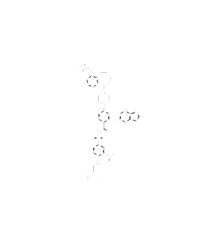 CS(=O)(=O)Nc1cccc2c1CCCCC2N1CCN(c2ccc(C(=O)NS(=O)(=O)c3ccc(NCC4CCOCC4)c([N+](=O)[O-])c3)c(Oc3cnc4[nH]ccc4c3)c2)CC1